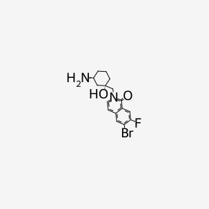 N[C@H]1CCC[C@@](O)(Cn2ccc3cc(Br)c(F)cc3c2=O)C1